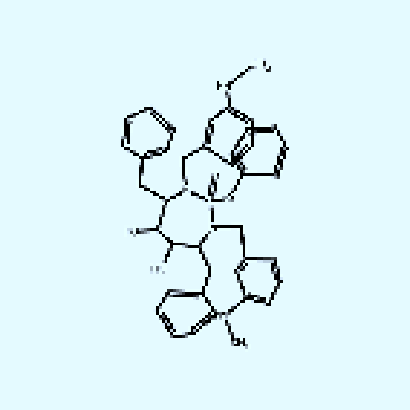 CNc1cccc(CN2C(Cc3ccccc3)C(O)C(O)C(Cc3ccccc3)N(Cc3cccc(NC)c3)P2(=O)Oc2ccccc2)c1